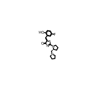 O=C1N=C(N2CCC[C@H]2CN2CCCC2)S/C1=C\c1cc(F)ccc1O